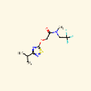 CC(C)c1nsc(OCC(=O)N(C)CC(F)(F)F)n1